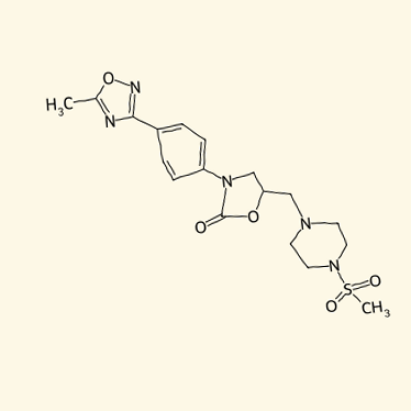 Cc1nc(-c2ccc(N3CC(CN4CCN(S(C)(=O)=O)CC4)OC3=O)cc2)no1